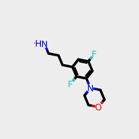 [NH]CCCc1cc(F)cc(N2CCOCC2)c1F